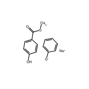 COC(=O)c1ccc(O)cc1.[Na+].[O-]c1ccccc1